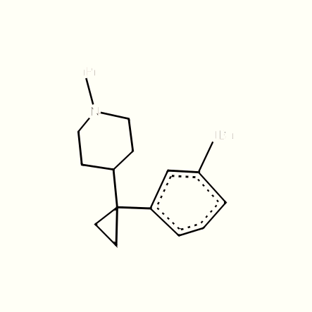 CC(C)N1CCC(C2(c3cccc(C(C)(C)C)c3)CC2)CC1